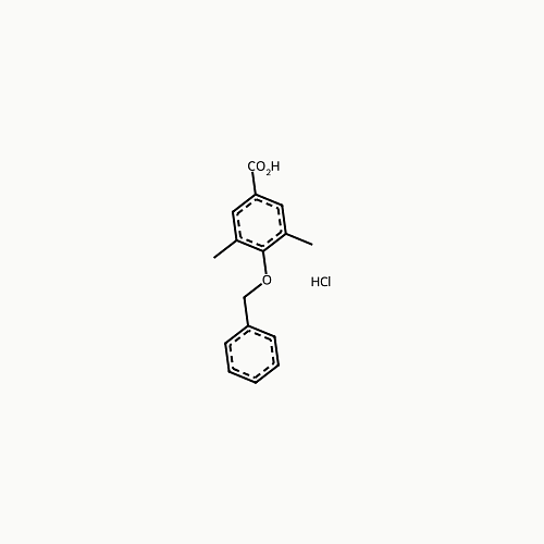 Cc1cc(C(=O)O)cc(C)c1OCc1ccccc1.Cl